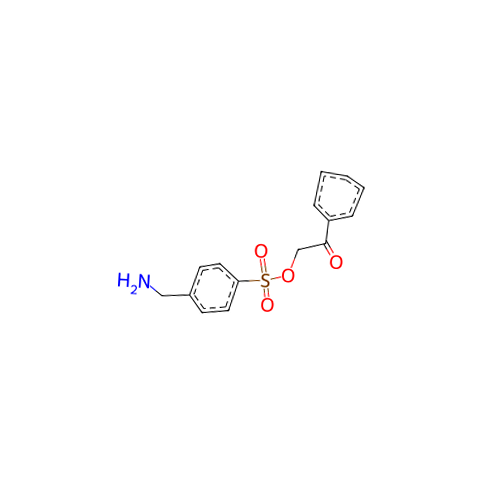 NCc1ccc(S(=O)(=O)OCC(=O)c2ccccc2)cc1